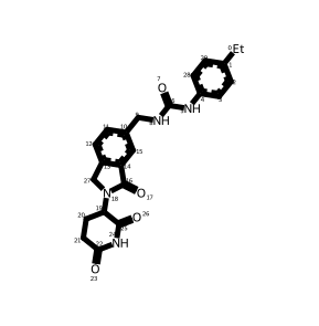 CCc1ccc(NC(=O)NCc2ccc3c(c2)C(=O)N(C2CCC(=O)NC2=O)C3)cc1